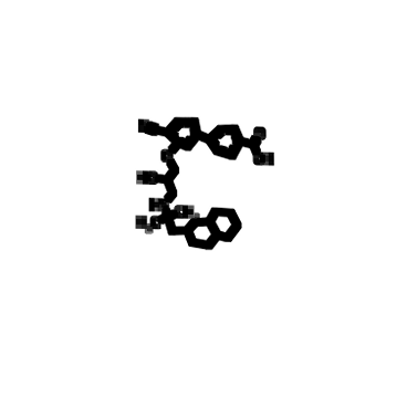 CC(C)(CC1CCC2CCCCC2C1)NCC(O)COc1cc(-c2ccc(C(=O)O)cc2)ccc1C#N